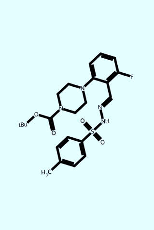 Cc1ccc(S(=O)(=O)N/N=C/c2c(F)cccc2N2CCN(C(=O)OC(C)(C)C)CC2)cc1